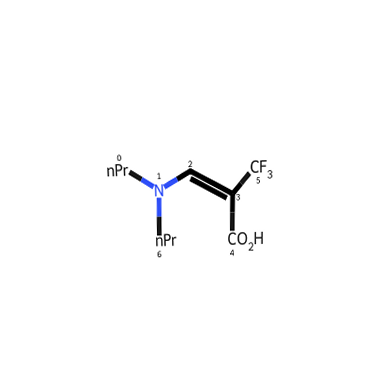 CCCN(/C=C(\C(=O)O)C(F)(F)F)CCC